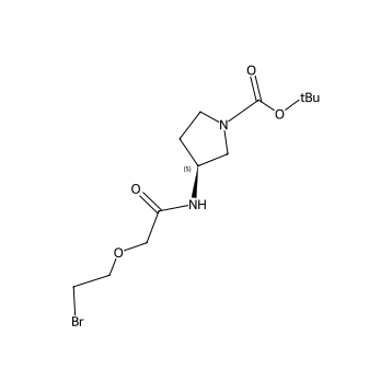 CC(C)(C)OC(=O)N1CC[C@H](NC(=O)COCCBr)C1